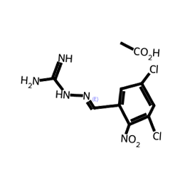 CC(=O)O.N=C(N)N/N=C/c1cc(Cl)cc(Cl)c1[N+](=O)[O-]